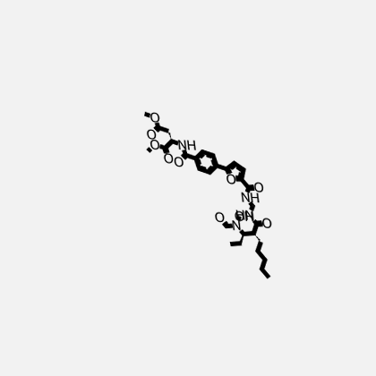 CCCCC[C@@H](C(=O)NCNC(=O)c1ccc(-c2ccc(C(=O)N[C@@H](CC(=O)OC)C(=O)OC)cc2)o1)[C@@H](CC)N(O)C=O